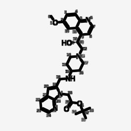 COc1ccc2nccc([C@@H](O)CN3CCC(NCc4cc5cccnc5n4CC(=O)OC(C)(C)C)CC3)c2c1